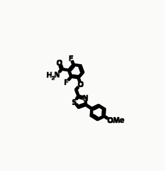 COc1ccc(-c2csc(COc3ccc(F)c(C(N)=O)c3F)n2)cc1